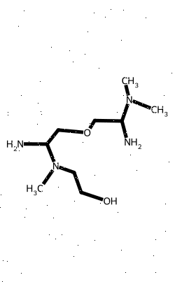 CN(C)C(N)COCC(N)N(C)CCO